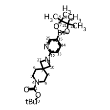 CC(C)(C)OC(=O)N1CCC2(CC1)CN(c1ccc(B3OC(C)(C)C(C)(C)O3)cn1)C2